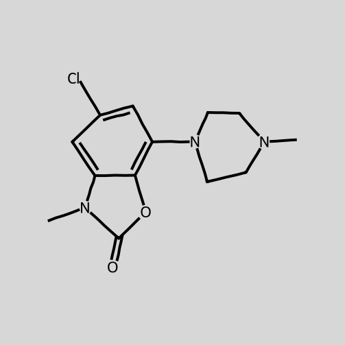 CN1CCN(c2cc(Cl)cc3c2oc(=O)n3C)CC1